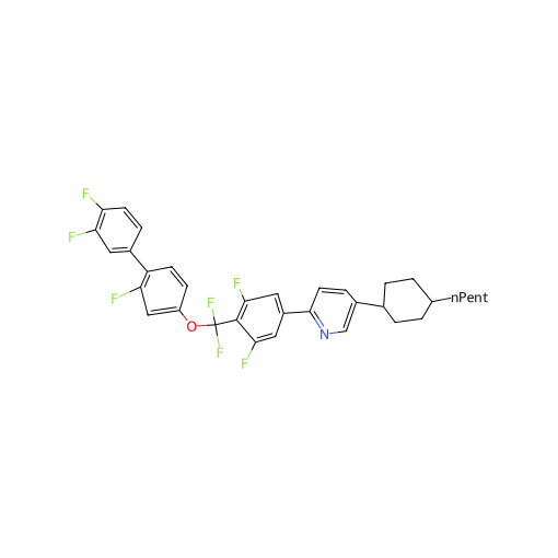 CCCCCC1CCC(c2ccc(-c3cc(F)c(C(F)(F)Oc4ccc(-c5ccc(F)c(F)c5)c(F)c4)c(F)c3)nc2)CC1